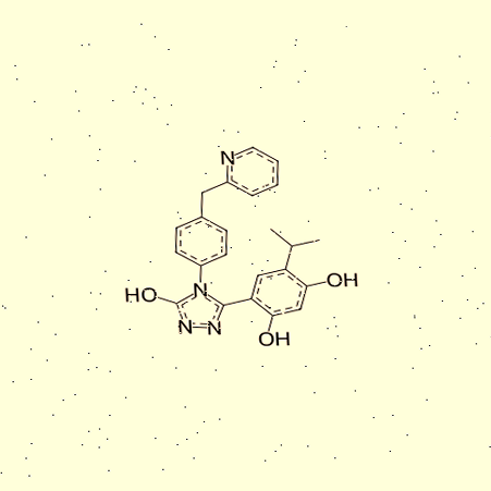 CC(C)c1cc(-c2nnc(O)n2-c2ccc(Cc3ccccn3)cc2)c(O)cc1O